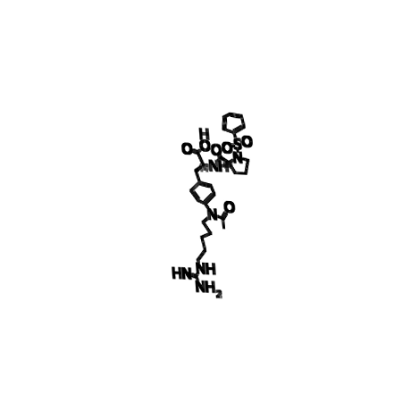 CC(=O)N(CCCCCNC(=N)N)c1ccc(C[C@H](NC(=O)[C@@H]2CCCN2S(=O)(=O)c2ccccc2)C(=O)O)cc1